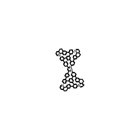 C1=CN=C2c3ccc(-c4ccccc4-c4cc(-c5ccccc5C5=CCC(c6cc(-c7ccc(-c8ccccc8-c8cc(-c9ccccc9-c9ccc%10c(c9)CCc9cccnc9-%10)cc(-c9ccccc9-c9ccc%10c(c9)CCc9cccnc9-%10)c8)cc7)ncn6)C=C5)cc(-c5ccccc5-c5ccc6c(c5)CCc5cccnc5-6)c4)cc3CCC2C1